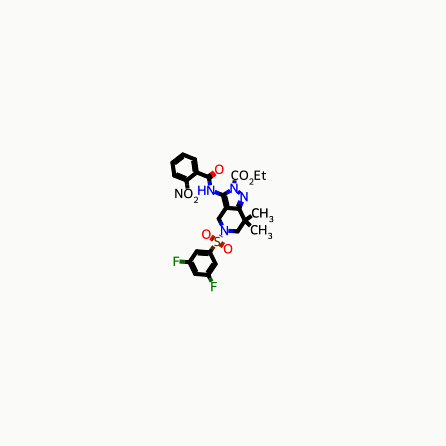 CCOC(=O)n1nc2c(c1NC(=O)c1ccccc1[N+](=O)[O-])CN(S(=O)(=O)c1cc(F)cc(F)c1)CC2(C)C